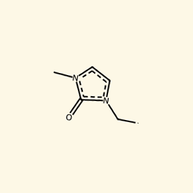 [CH2]Cn1ccn(C)c1=O